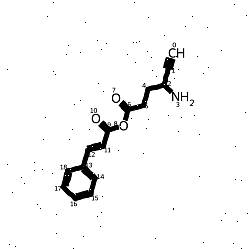 C#CC(N)CCC(=O)OC(=O)/C=C/c1ccccc1